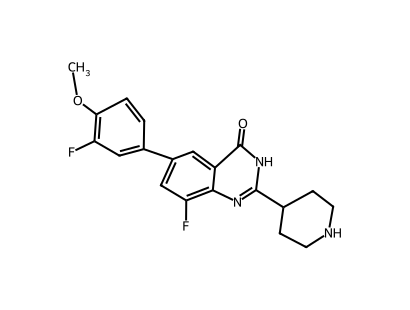 COc1ccc(-c2cc(F)c3nc(C4CCNCC4)[nH]c(=O)c3c2)cc1F